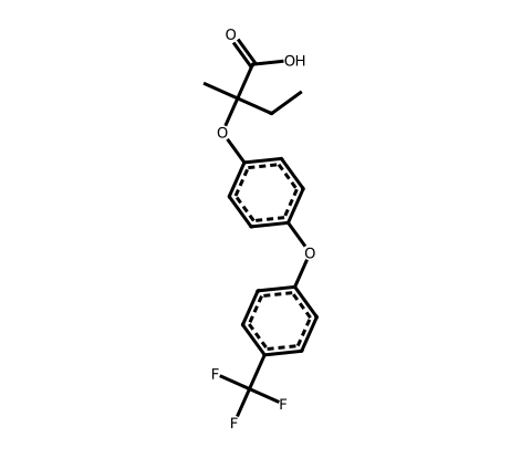 CCC(C)(Oc1ccc(Oc2ccc(C(F)(F)F)cc2)cc1)C(=O)O